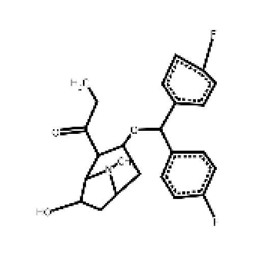 CCC(=O)C1C(OC(c2ccc(F)cc2)c2ccc(F)cc2)CC2CC(O)C1N2C